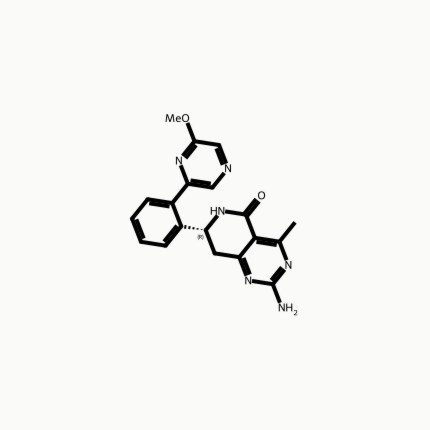 COc1cncc(-c2ccccc2[C@H]2Cc3nc(N)nc(C)c3C(=O)N2)n1